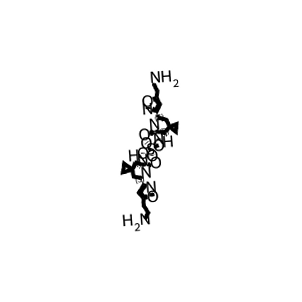 NCCc1cc([C@@H]2CC3(CC3)[C@@H]3CN2C(=O)N3OS(=O)(=O)ON2C(=O)N3C[C@H]2C2(CC2)C[C@H]3c2cc(CCN)on2)no1